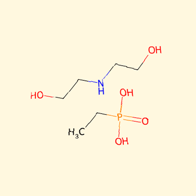 CCP(=O)(O)O.OCCNCCO